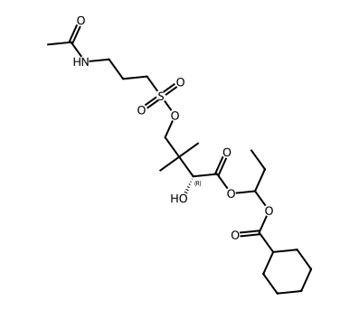 CCC(OC(=O)C1CCCCC1)OC(=O)[C@H](O)C(C)(C)COS(=O)(=O)CCCNC(C)=O